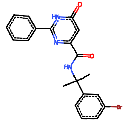 CC(C)(NC(=O)c1cc(=O)[nH]c(-c2ccccc2)n1)c1cccc(Br)c1